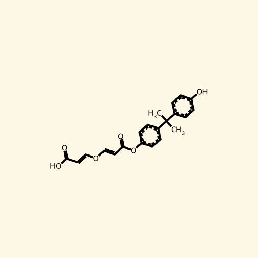 CC(C)(c1ccc(O)cc1)c1ccc(OC(=O)C=COC=CC(=O)O)cc1